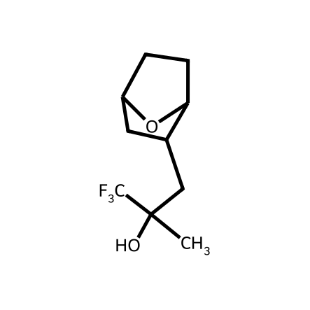 CC(O)(CC1CC2CCC1O2)C(F)(F)F